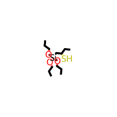 CCCO[Si](CC(S)CC)(OCCC)OCCC